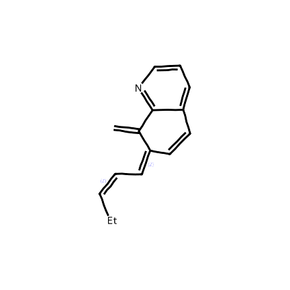 C=c1/c(=C\C=C/CC)ccc2cccnc12